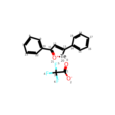 O=C([O-])C(F)(F)F.c1ccc(-c2cc(-c3ccccc3)[te][o+]2)cc1